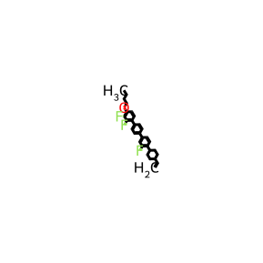 C=CC1CCC(c2ccc(-c3ccc(-c4ccc(OCCCC)c(F)c4F)cc3)cc2F)CC1